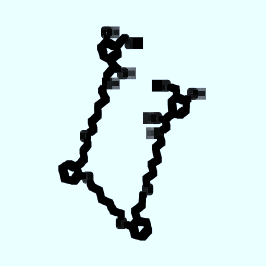 OCc1cc(C(O)CNCCCCCCOCCCc2ccccc2OCCCCCCOc2ccccc2CCCOCCCCCCNCC(O)c2ccc(O)c(CO)c2)ccc1O